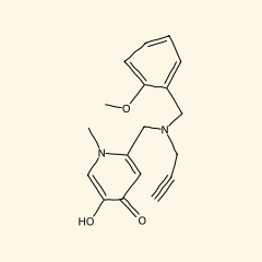 C#CCN(Cc1ccccc1OC)Cc1cc(=O)c(O)cn1C